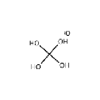 OC(O)(O)O.[O]